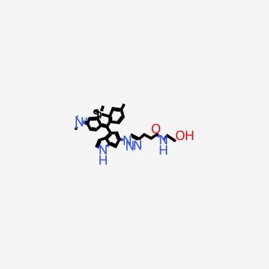 Cc1ccc2c(c1)[Si](C)(C)C1=CC(=[N+](C)C)C=CC1=C2c1cc(-n2cc(CCC(=O)NCCO)nn2)cc2[nH]ccc12